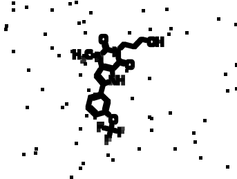 Cn1c(=O)n(CCCO)c(=O)c2[nH]c(-c3cccc(OC(F)(F)F)c3)cc21